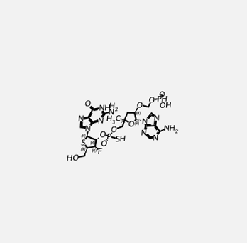 C[C@]1(COP(=O)(S)O[C@@H]2[C@@H](F)[C@@H](CO)S[C@H]2n2cnc3c(=O)[nH]c(N)nc32)C[C@@H](OCO[PH](=O)O)[C@H](n2cnc3c(N)ncnc32)O1